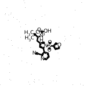 CC(C)(C)C(Cc1cc(-c2cccnc2C#N)n(S(=O)(=O)c2ccoc2)c1)NC(=O)O